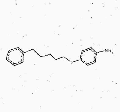 Nc1ccc(SCCCCCc2ccccc2)cc1